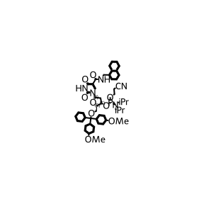 COc1ccc(C(OC[C@H]2O[C@@H](n3cc(C(=O)NCc4cccc5ccccc45)c(=O)[nH]c3=O)C[C@@H]2OP(OCCC#N)N(C(C)C)C(C)C)(c2ccccc2)c2ccc(OC)cc2)cc1